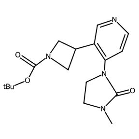 CN1CCN(c2ccncc2C2CN(C(=O)OC(C)(C)C)C2)C1=O